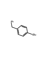 [CH2]C(C)Cc1ccc(C(C)(C)C)cc1